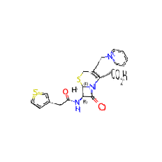 O=C(Cc1ccsc1)N[C@@H]1C(=O)N2C(C(=O)O)=C(C[n+]3ccccc3)CS[C@H]12